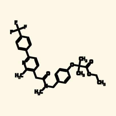 CCOC(=O)C(C)(C)Oc1ccc(CN(C)C(=O)Cc2ccc(-c3ccc(C(F)(F)F)cc3)nc2C)cc1